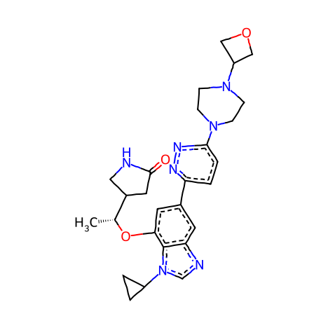 C[C@@H](Oc1cc(-c2ccc(N3CCN(C4COC4)CC3)nn2)cc2ncn(C3CC3)c12)C1CNC(=O)C1